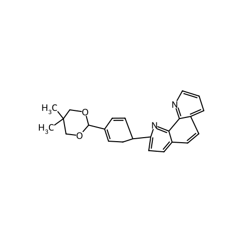 CC1(C)COC(C2=CCC(c3ccc4ccc5cccnc5c4n3)C=C2)OC1